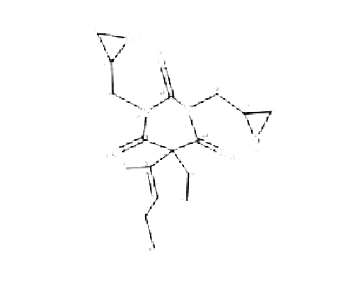 CC/C=C(\C)C1(CC)C(=O)N(CC2CO2)C(=O)N(CC2CO2)C1=O